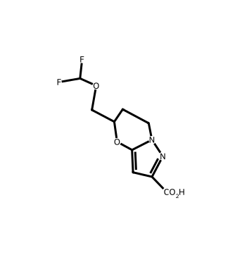 O=C(O)c1cc2n(n1)CCC(COC(F)F)O2